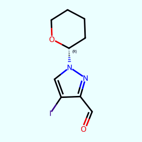 O=Cc1nn([C@H]2CCCCO2)cc1I